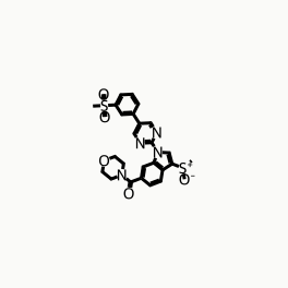 C[S+]([O-])c1cn(-c2ncc(-c3cccc(S(C)(=O)=O)c3)cn2)c2cc(C(=O)N3CCOCC3)ccc12